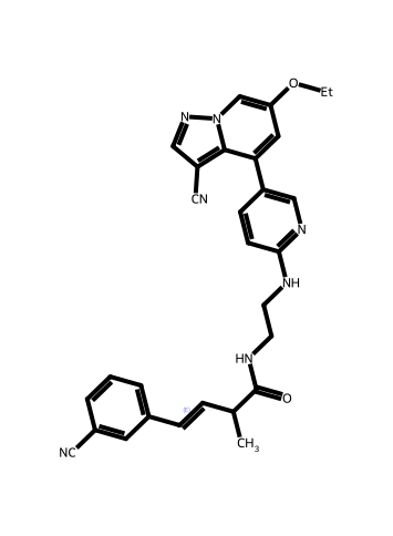 CCOc1cc(-c2ccc(NCCNC(=O)C(C)/C=C/c3cccc(C#N)c3)nc2)c2c(C#N)cnn2c1